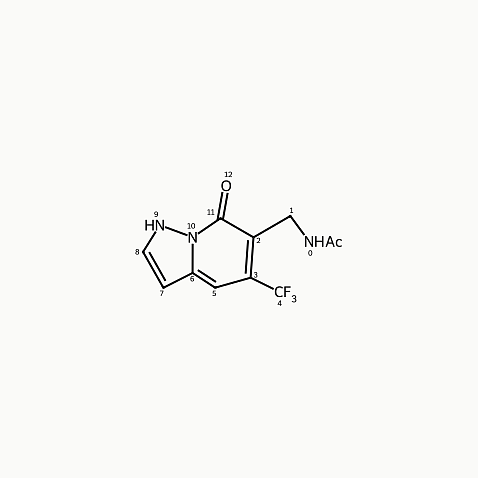 CC(=O)NCc1c(C(F)(F)F)cc2cc[nH]n2c1=O